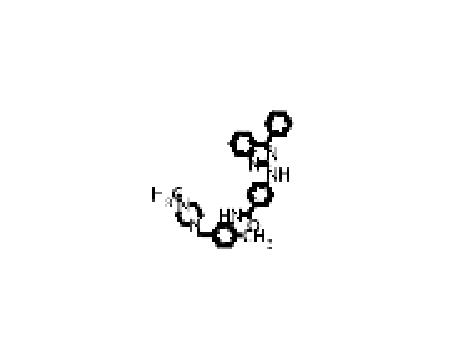 Cc1ccc(CN2CCN(C)CC2)cc1NC(=O)c1ccc(Nc2nc(-c3ccccc3)c3ccccc3n2)cc1